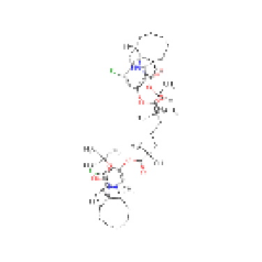 CC(C)(C)OC(=O)N[C@H]1[C@H]2CCCCC[C@]1(C)c1cc(OC(=O)C(C)(C)CCCC(C)(C)C(=O)OC3=CC4C(C[C@@H]5CCCCC[C@@]4(C)[C@H]5NC(=O)OC(C)(C)C)C(F)=C3)cc(F)c1C2